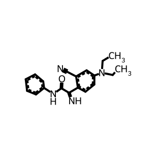 CCN(CC)c1ccc(C(=N)C(=O)Nc2ccccc2)c(C#N)c1